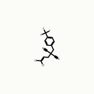 N#CC(C#N)(CC=C(Cl)Cl)Cc1ccc(C(F)(F)F)cc1